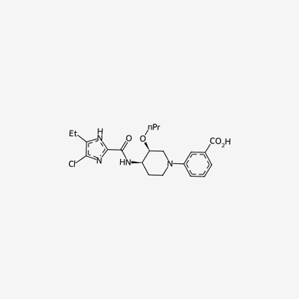 CCCO[C@H]1CN(c2cccc(C(=O)O)c2)CC[C@H]1NC(=O)c1nc(Cl)c(CC)[nH]1